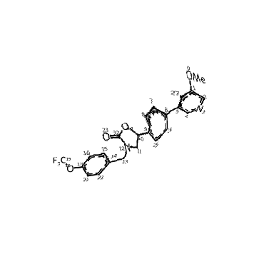 COc1cncc(-c2ccc(C3CN(Cc4ccc(OC(F)(F)F)cc4)C(=O)O3)cc2)c1